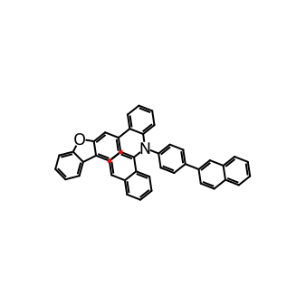 c1ccc(N(c2ccc(-c3ccc4ccccc4c3)cc2)c2cccc3ccccc23)c(-c2ccc3c(c2)oc2ccccc23)c1